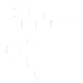 CNC(=O)c1c(I)c(NC(=O)COC)c(I)c(C(=O)c2ccccc2NCC(=O)O)c1I